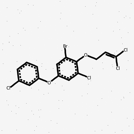 ClC(Cl)=CCOc1c(Cl)cc(Oc2cccc(Cl)c2)cc1Br